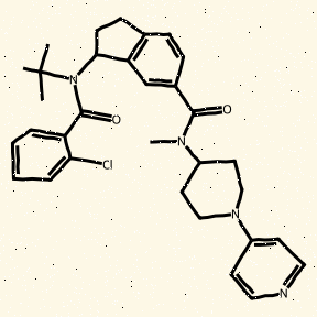 CN(C(=O)c1ccc2c(c1)C(N(C(=O)c1ccccc1Cl)C(C)(C)C)CC2)C1CCN(c2ccncc2)CC1